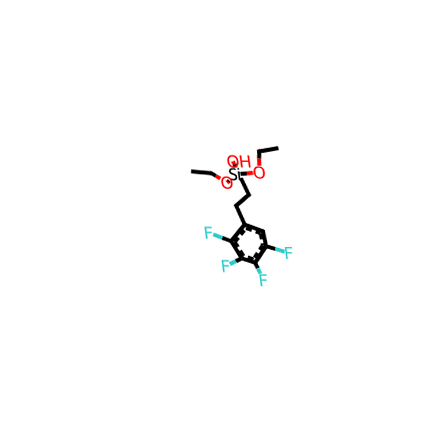 CCO[Si](O)(CCc1cc(F)c(F)c(F)c1F)OCC